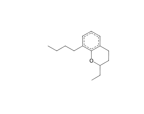 CCCCc1cccc2c1OC(CC)CC2